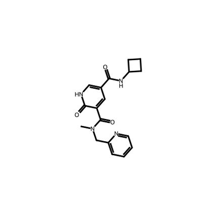 CN(Cc1ccccn1)C(=O)c1cc(C(=O)NC2CCC2)c[nH]c1=O